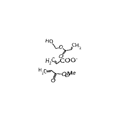 C=CC(=O)OC.C=CC(=O)OCO.C=CC(=O)[O-].[Li+]